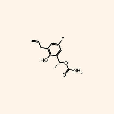 C=CCc1cc(F)cc([C@@H](C)OC(N)=O)c1O